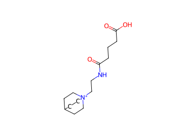 O=C(O)CCCC(=O)NCC[N+]12CCC(CC1)CC2